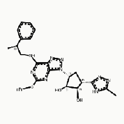 CCCSc1nc(NC[C@@H](C)c2ccccc2)c2nnn([C@@H]3C[C@H](c4nnc(C)[nH]4)[C@@H](O)[C@H]3O)c2n1